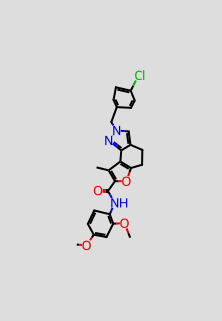 COc1ccc(NC(=O)c2oc3c(c2C)-c2nn(Cc4ccc(Cl)cc4)cc2CC3)c(OC)c1